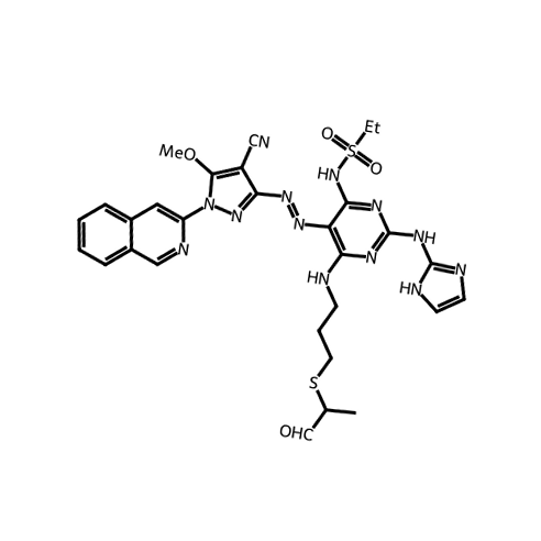 CCS(=O)(=O)Nc1nc(Nc2ncc[nH]2)nc(NCCCSC(C)C=O)c1N=Nc1nn(-c2cc3ccccc3cn2)c(OC)c1C#N